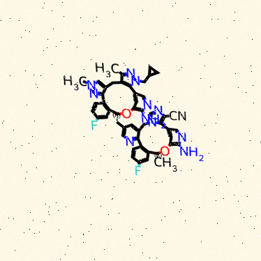 Cc1nn(CC2CC2)c2c1Cc1cn(C)nc1-c1ccc(F)cc1[C@@H](Cc1cnc3c(c1)Cn1cnc(C#N)c1-c1cnc(N)c(c1)O[C@H](C)c1cc(F)ccc1-3)Oc1cc-2cnc1N